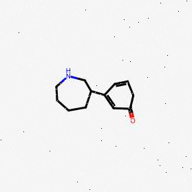 O=C1C=C(C2CCCCNC2)C=CC1